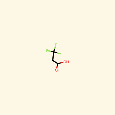 OC(O)CC(F)(F)F